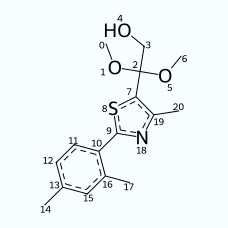 COC(CO)(OC)c1sc(-c2ccc(C)cc2C)nc1C